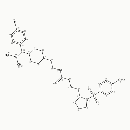 COc1ccc(S(=O)(=O)N2CCCC2COCC(=O)NCCC2CCC(C(c3ccc(F)cc3)N(C)C)CC2)cc1